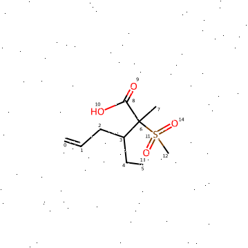 C=CCC(CC)C(C)(C(=O)O)S(C)(=O)=O